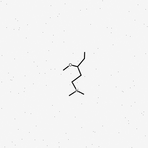 CCC(CCN(C)C)OC